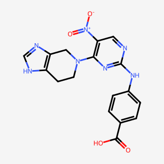 O=C(O)c1ccc(Nc2ncc([N+](=O)[O-])c(N3CCc4[nH]cnc4C3)n2)cc1